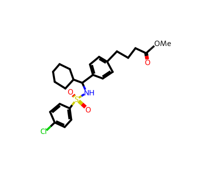 COC(=O)CCCc1ccc(C(NS(=O)(=O)c2ccc(Cl)cc2)C2CCCCC2)cc1